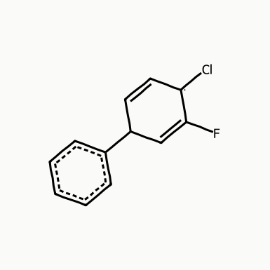 FC1=CC(c2ccccc2)C=C[C]1Cl